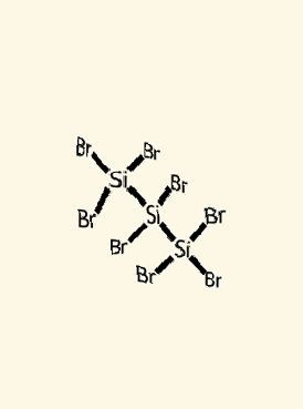 Br[Si](Br)(Br)[Si](Br)(Br)[Si](Br)(Br)Br